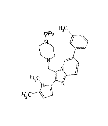 CCCN1CCN(Cc2c(-c3ccc(C)n3C)nc3ccc(-c4cccc(C)c4)cn23)CC1